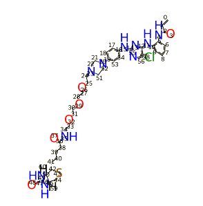 C=CC(=O)Nc1ccccc1Nc1nc(Nc2ccc(N3CCN(CCOCCOCCOCCNC(=O)CCCC[C@@H]4SC[C@@H]5NC(=O)N[C@@H]54)CC3)cc2)ncc1Cl